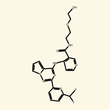 O=C(NCCOCCO)c1cnccc1Nc1nc(-c2cccc(C(F)F)n2)nn2cccc12